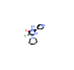 O=c1[nH]c(-c2ccncc2)nc(N2CCCCCC2)c1Cl